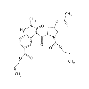 C=CCOC(=O)c1cccc(N(C(=O)C2CC(OC(C)=S)CN2C(=O)OCC=C)C(=O)N(C)C)c1